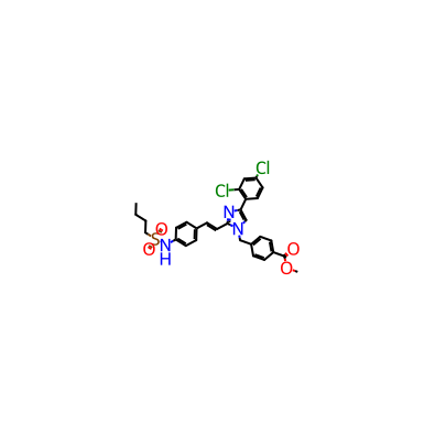 CCCCS(=O)(=O)Nc1ccc(/C=C/c2nc(-c3ccc(Cl)cc3Cl)cn2Cc2ccc(C(=O)OC)cc2)cc1